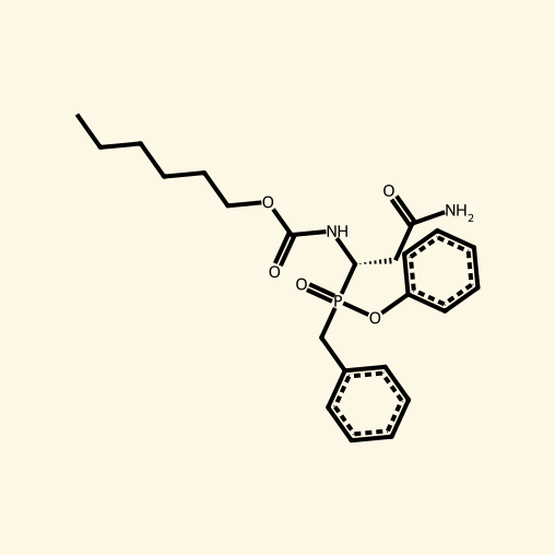 CCCCCCOC(=O)N[C@H](CC(N)=O)P(=O)(Cc1ccccc1)Oc1ccccc1